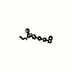 C=C/C=C\C=C(/C)c1cc(-c2ccccn2)nc(-c2ccc(-c3ccc(-c4ccc(-c5cccc6ccccc56)cc4)cc3)cn2)c1